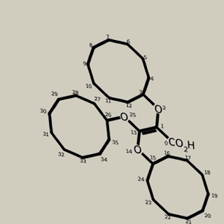 O=C(O)C(OC1CCCCCCCCC1)=C(OC1CCCCCCCCC1)OC1CCCCCCCCC1